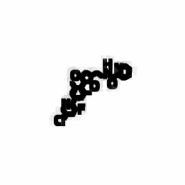 Cc1cc(-c2ncc(Cl)cc2F)cc(C)c1C1C(=O)CC(CCNC(=O)c2ccccn2)C1=O